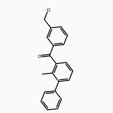 Cc1c(C(=O)c2cccc(CCl)c2)cccc1-c1ccccc1